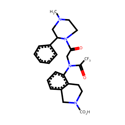 CN1CCN(C(=O)CN(C(=O)C(F)(F)F)c2cccc3c2CCN(C(=O)O)C3)C(c2ccccc2)C1